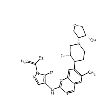 C=C(CC)n1ncc(Nc2ncc3cc(C)c([C@@H]4CCN([C@@H]5COC[C@@H]5O)C[C@H]4F)cc3n2)c1Cl